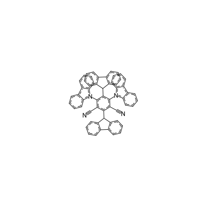 N#Cc1c(C2c3ccccc3-c3ccccc32)c(C#N)c(-n2c3ccccc3c3ccccc32)c(C2c3ccccc3-c3ccccc32)c1-n1c2ccccc2c2ccccc21